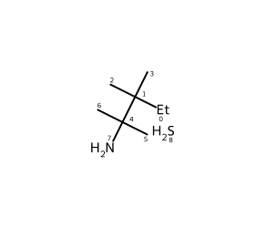 CCC(C)(C)C(C)(C)N.S